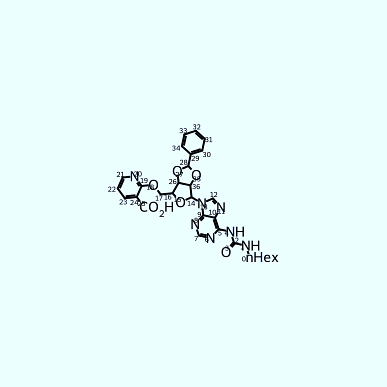 CCCCCCNC(=O)Nc1ncnc2c1ncn2C1OC(COc2ncccc2C(=O)O)C2OC(c3ccccc3)OC21